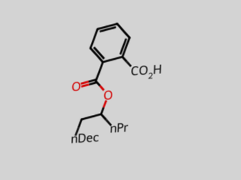 CCCCCCCCCCCC(CCC)OC(=O)c1ccccc1C(=O)O